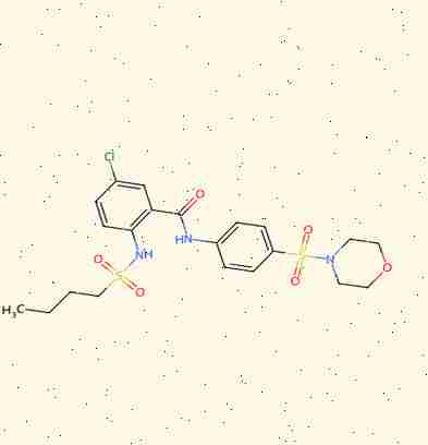 CCCCS(=O)(=O)Nc1ccc(Cl)cc1C(=O)Nc1ccc(S(=O)(=O)N2CCOCC2)cc1